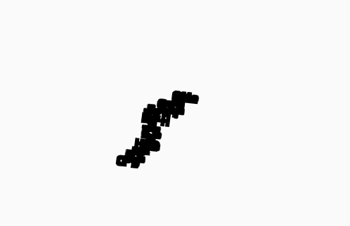 COc1cccc(NC(=O)c2ccnc(N3CCC(C(=O)NCc4ccc(Cl)cc4)CC3)c2)c1